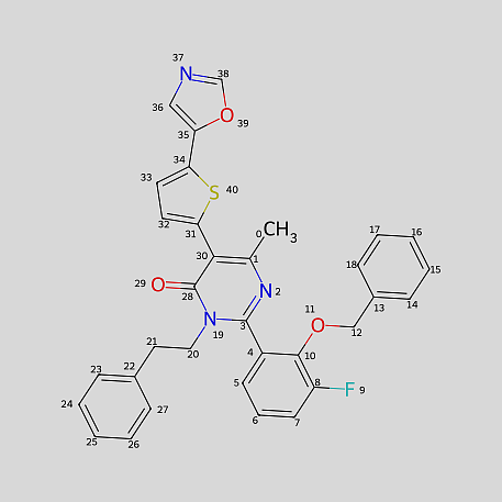 Cc1nc(-c2cccc(F)c2OCc2ccccc2)n(CCc2ccccc2)c(=O)c1-c1ccc(-c2cnco2)s1